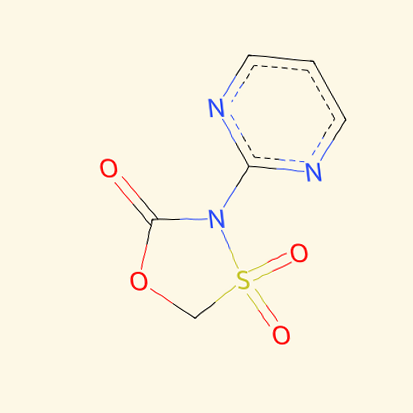 O=C1OCS(=O)(=O)N1c1ncccn1